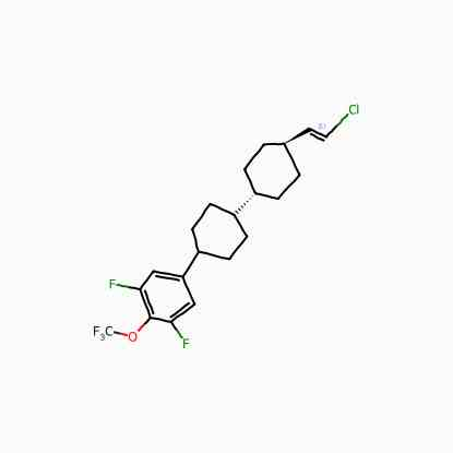 Fc1cc(C2CCC([C@H]3CC[C@H](/C=C/Cl)CC3)CC2)cc(F)c1OC(F)(F)F